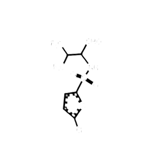 O=CC(NS(=O)(=O)c1ccc(Cl)s1)C(C(F)(F)F)C(F)(F)F